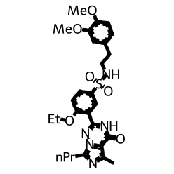 CCCc1nc(C)c2c(=O)[nH]c(-c3cc(S(=O)(=O)NCCc4ccc(OC)c(OC)c4)ccc3OCC)nn12